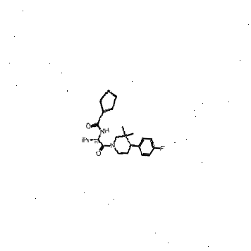 CC(C)[C@@H](NC(=O)C1CCCC1)C(=O)N1CCC(c2ccc(F)cc2)C(C)(C)C1